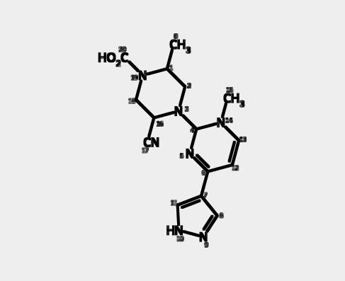 CC1CN(C2N=C(c3cn[nH]c3)C=CN2C)C(C#N)CN1C(=O)O